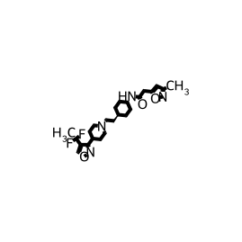 Cc1cc(CC(=O)N[C@H]2CC[C@H](CCN3CCC(c4nocc4C(C)(F)F)CC3)CC2)on1